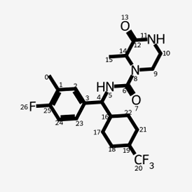 Cc1cc(C(NC(=O)N2CCNC(=O)C2C)C2CCC(C(F)(F)F)CC2)ccc1F